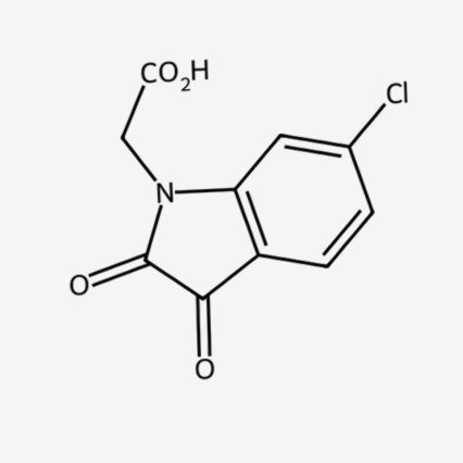 O=C(O)CN1C(=O)C(=O)c2ccc(Cl)cc21